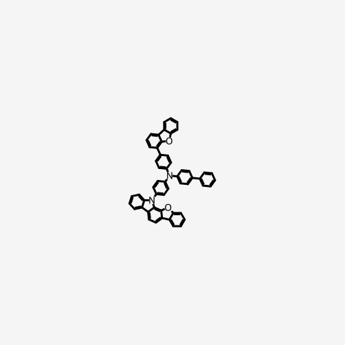 c1ccc(-c2ccc(N(c3ccc(-c4cccc5c4oc4ccccc45)cc3)c3ccc(-n4c5ccccc5c5ccc6c7ccccc7oc6c54)cc3)cc2)cc1